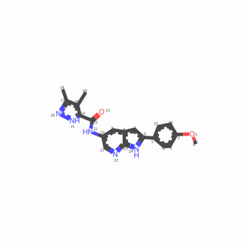 COc1ccc(-c2cc3cc(NC(=O)c4[nH]nc(C)c4C)cnc3[nH]2)cc1